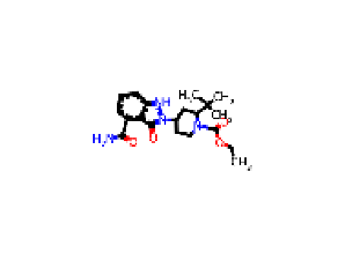 CCOC(=O)N1CCC(n2[nH]c3cccc(C(N)=O)c3c2=O)CC1C(C)(C)C